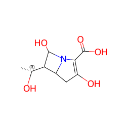 C[C@@H](O)C1C(O)N2C(C(=O)O)=C(O)CC12